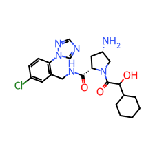 N[C@H]1C[C@@H](C(=O)NCc2cc(Cl)ccc2-n2cncn2)N(C(=O)C(O)C2CCCCC2)C1